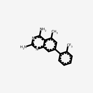 Cc1cc(-c2ccccc2C(F)(F)F)cc2nc(N)nc(N)c12